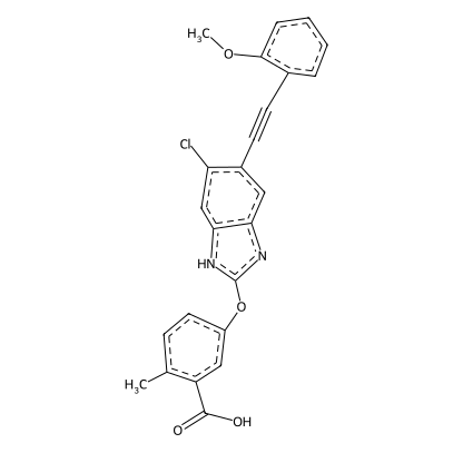 COc1ccccc1C#Cc1cc2nc(Oc3ccc(C)c(C(=O)O)c3)[nH]c2cc1Cl